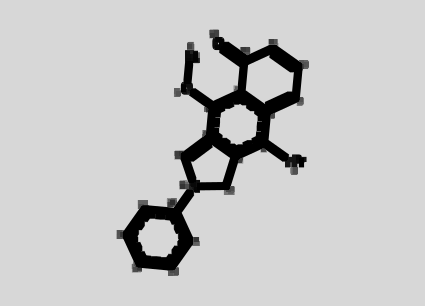 CCCc1c2c(c(OCC)c3c1=CC=CC3=O)=CN(c1cc[c]cc1)C2